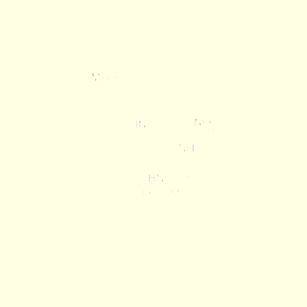 COc1ccc(Nc2ccc([N+](=O)[O-])c3[nH]c(C(=O)NS(=O)(=O)c4ccccc4)cc23)cc1